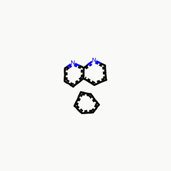 c1ccccc1.c1cnc2ncccc2c1